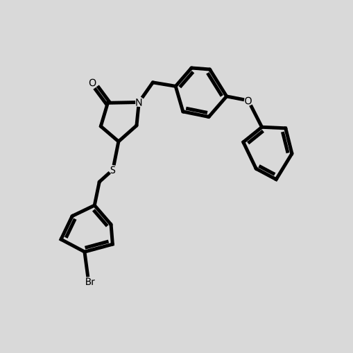 O=C1CC(SCc2ccc(Br)cc2)CN1Cc1ccc(Oc2ccccc2)cc1